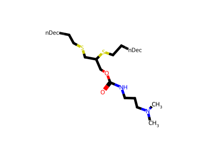 CCCCCCCCCCCCSCC(COC(=O)NCCCN(C)C)SCCCCCCCCCCCC